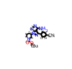 CC(C)(C)OC(=O)N1CCCC(n2nc(-c3ccc(C#N)cc3)c3c(N)ncnc32)C1